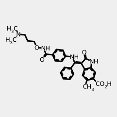 Cc1cc2c(cc1C(=O)O)NC(=O)/C2=C(\Nc1ccc(C(=O)NOCCCN(C)C)cc1)c1ccccc1